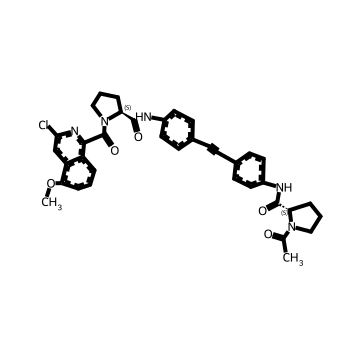 COc1cccc2c(C(=O)N3CCC[C@H]3C(=O)Nc3ccc(C#Cc4ccc(NC(=O)[C@@H]5CCCN5C(C)=O)cc4)cc3)nc(Cl)cc12